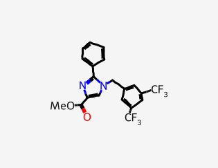 COC(=O)c1cn(Cc2cc(C(F)(F)F)cc(C(F)(F)F)c2)c(-c2ccccc2)n1